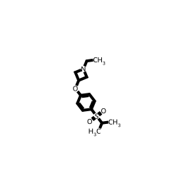 CCN1CC(Oc2ccc(S(=O)(=O)C(C)C)cc2)C1